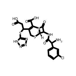 NC(C(=O)NC1C(=O)N2C(C(=O)O)=C(C(CC(=O)O)Sc3nnn[nH]3)CS[C@@H]12)c1cccc(Cl)c1